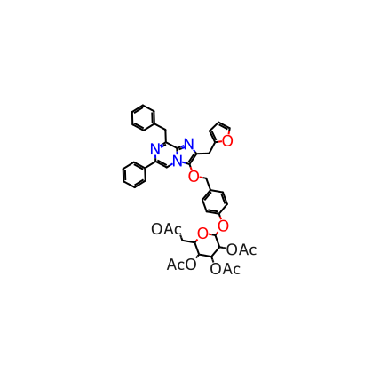 CC(=O)OCC1OC(Oc2ccc(COc3c(Cc4ccco4)nc4c(Cc5ccccc5)nc(-c5ccccc5)cn34)cc2)C(OC(C)=O)C(OC(C)=O)C1OC(C)=O